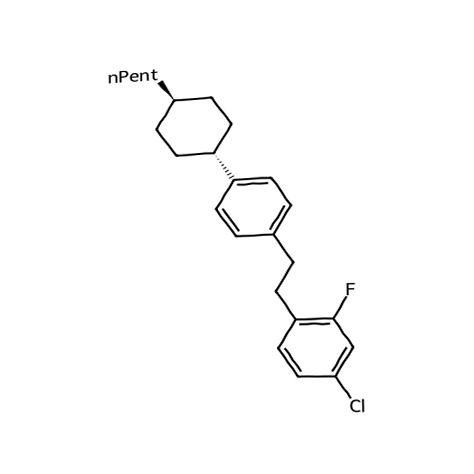 CCCCC[C@H]1CC[C@H](c2ccc(CCc3ccc(Cl)cc3F)cc2)CC1